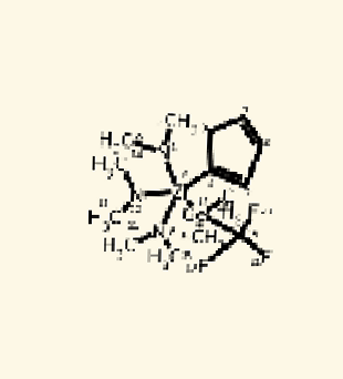 C[N](C)[Zr]([C]1=CC=CC1)([N](C)C)([N](C)C)[Ge]([CH3])([CH3])[C](F)(F)F